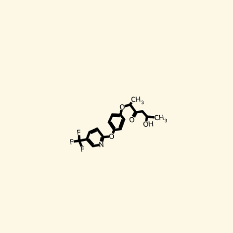 CC(O)CC(=O)C(C)Oc1ccc(Oc2ccc(C(F)(F)F)cn2)cc1